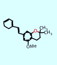 COc1cc(C=CC2=CC=CCC2)cc2c1CCC(C)(C)O2